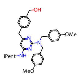 CCCC(C)Nc1cc(Cc2ccc(CO)cc2)nc(N(Cc2ccc(OC)cc2)Cc2ccc(OC)cc2)n1